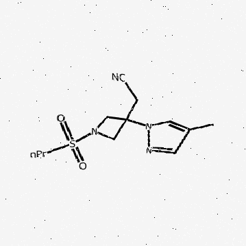 CCCS(=O)(=O)N1CC(CC#N)(n2cc(C)cn2)C1